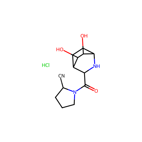 Cl.N#CC1CCCN1C(=O)C1NC2CCC1C(O)C2O